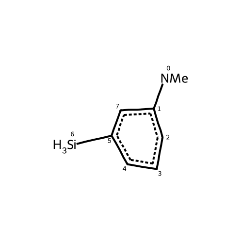 CNc1cccc([SiH3])c1